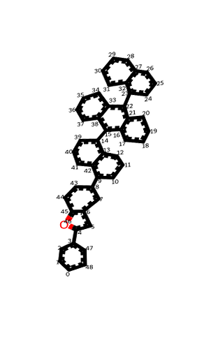 c1ccc(-c2cc3cc(-c4cccc5c(-c6c7ccccc7c(-c7cccc8ccccc78)c7ccccc67)cccc45)ccc3o2)cc1